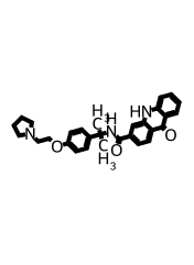 CC(C)(NC(=O)c1ccc2c(=O)c3ccccc3[nH]c2c1)c1ccc(OCCN2CCCC2)cc1